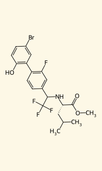 COC(=O)[C@H](CC(C)C)NC(c1ccc(-c2cc(Br)ccc2O)c(F)c1)C(F)(F)F